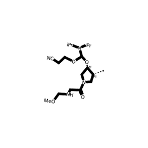 COCNCC(=O)N1C[C@@H](C)[C@@H](OC(OCCC#N)N(C(C)C)C(C)C)C1